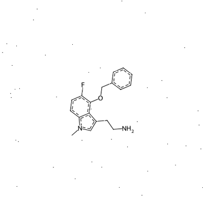 Cn1cc(CCN)c2c(OCc3ccccc3)c(F)ccc21